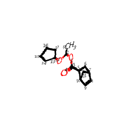 CC(OC(=O)C1CC2C=CC1C2)OC1CCCC1